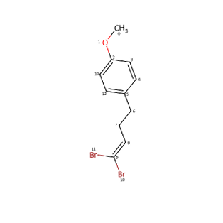 COc1ccc(CCC=C(Br)Br)cc1